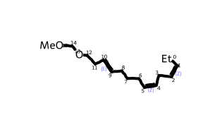 CC/C=C\C/C=C\CCC/C=C/CCOCOC